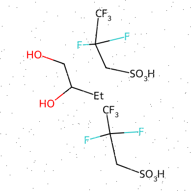 CCC(O)CO.O=S(=O)(O)CC(F)(F)C(F)(F)F.O=S(=O)(O)CC(F)(F)C(F)(F)F